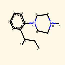 CCC(C)c1cc[c]cc1N1CCN(C)CC1